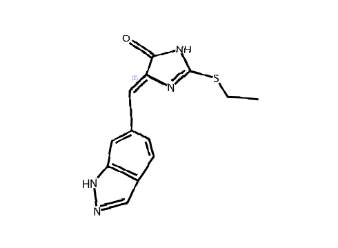 CCSC1=N/C(=C\c2ccc3cn[nH]c3c2)C(=O)N1